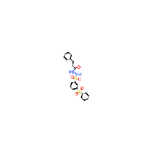 O=C(CCc1ccccc1)NNS(=O)(=O)c1cccc(S(=O)(=O)c2ccccc2)c1